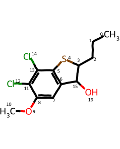 CCCC1Sc2c(cc(OC)c(Cl)c2Cl)C1O